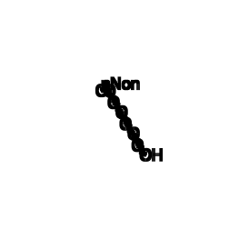 CCCCCCCCCC(=O)OCCOCCOCCOCCOCCOCCO